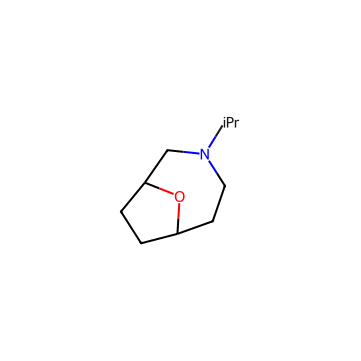 CC(C)N1CCC2CCC(C1)O2